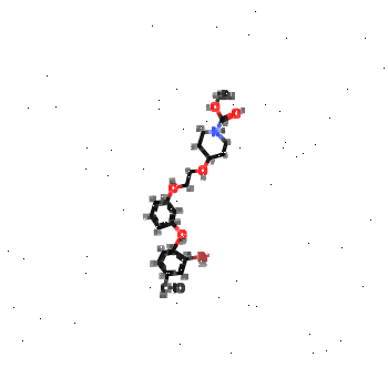 CC(C)(C)OC(=O)N1CCC(OCCOc2cccc(Oc3ccc(C=O)cc3Br)c2)CC1